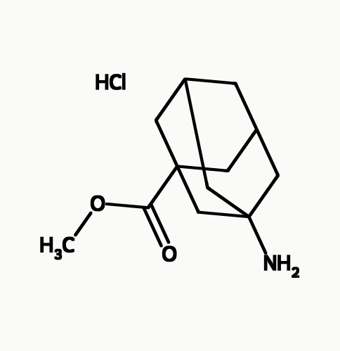 COC(=O)C12CC3CC(CC(N)(C3)C1)C2.Cl